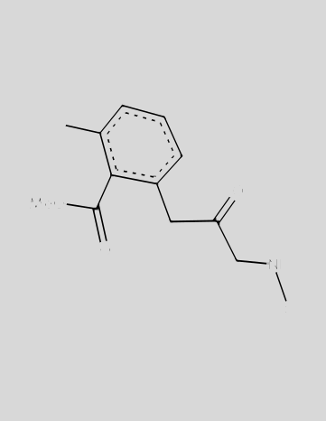 COC(=O)c1c(C)cccc1CC(=O)CNCl